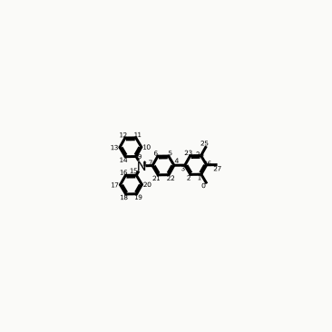 Cc1cc(-c2ccc(N(c3ccccc3)c3ccccc3)cc2)cc(C)c1C